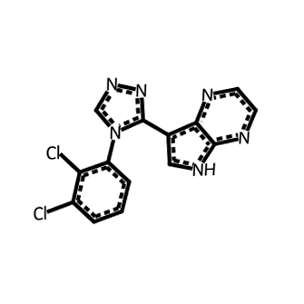 Clc1cccc(-n2cnnc2-c2c[nH]c3nccnc23)c1Cl